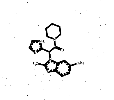 COc1ccc2nc(C(F)(F)F)n(C(C(=O)N3CCCCC3)c3ncc[nH]3)c2c1